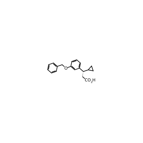 O=C(O)C[C@H](c1cccc(OCc2ccccc2)c1)C1CC1